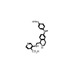 CCCCCCc1ccc(N(C)c2ccc3c(c2)CCNC3CNc2cnccc2C(=O)O)cc1